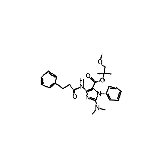 COCC(C)(C)OC(=O)c1c(NC(=O)CCc2ccccc2)nc(N(C)C)n1-c1ccccc1